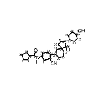 N#Cc1cc(NC(=O)C2CCCC2)ccc1N1CCC[C@]2(CCN([C@H]3CC[C@H](O)CC3)C2=O)C1